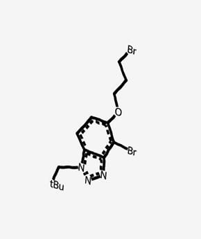 CC(C)(C)Cn1nnc2c(Br)c(OCCCBr)ccc21